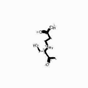 CC(=O)[C@H](CO)NCCC(=O)O